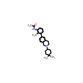 Cc1c(NC(=O)C(F)(F)F)cccc1-c1ccc2c(c1)CCN(C1CCC(C)(C)CC1)C2